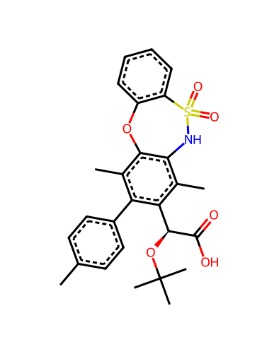 Cc1ccc(-c2c(C)c3c(c(C)c2[C@H](OC(C)(C)C)C(=O)O)NS(=O)(=O)c2ccccc2O3)cc1